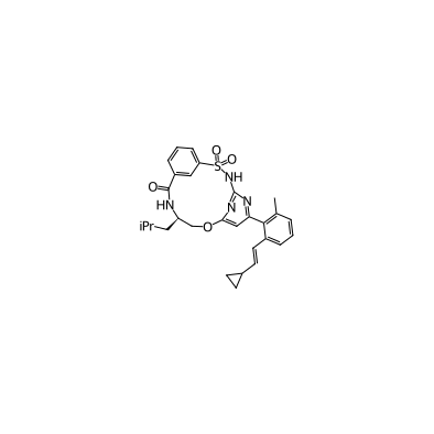 Cc1cccc(/C=C/C2CC2)c1-c1cc2nc(n1)NS(=O)(=O)c1cccc(c1)C(=O)N[C@H](CC(C)C)CO2